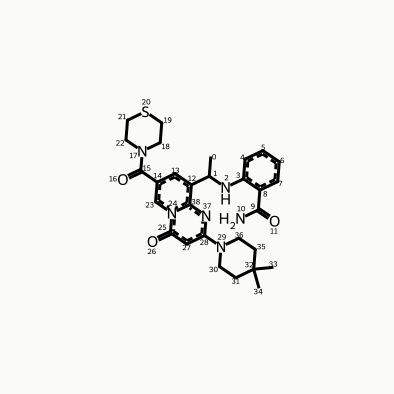 CC(Nc1ccccc1C(N)=O)c1cc(C(=O)N2CCSCC2)cn2c(=O)cc(N3CCC(C)(C)CC3)nc12